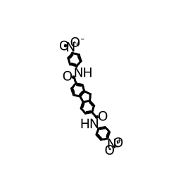 O=C(Nc1ccc([N+](=O)[O-])cc1)c1ccc2c(c1)Cc1cc(C(=O)Nc3ccc([N+](=O)[O-])cc3)ccc1-2